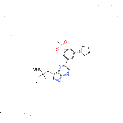 CC(C)(C=O)Cc1c[nH]c2ncc(-c3cc(N4CCCC4)cc(S(C)(=O)=O)c3)nc12